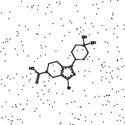 O=C(O)N1CCc2c(c(Br)nn2C2CCS(O)(O)CC2)C1